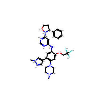 CN1CCN(c2cc(OCC(F)(F)F)c(Nc3cc(N4OCC[C@@H]4c4ccccc4)ncn3)cc2-c2cnn(C)c2)CC1